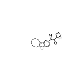 O=C(Nc1ccc2oc3c(c2c1)CCCCCC3)c1ccco1